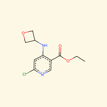 CCOC(=O)c1cnc(Cl)cc1NC1COC1